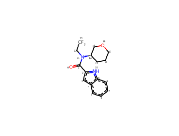 O=C(c1cc2ccccc2[nH]1)N(CC(F)(F)F)[C@@H]1CCCOC1